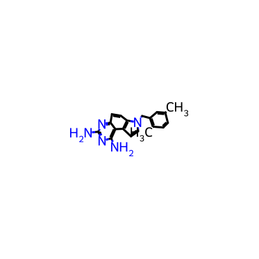 Cc1ccc(C)c(Cn2ccc3c4c(N)nc(N)nc4ccc32)c1